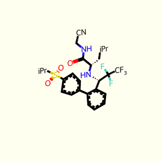 CC(C)C[C@H](N[C@@H](c1ccccc1-c1ccc(S(=O)(=O)C(C)C)cc1)C(F)(F)C(F)(F)F)C(=O)NCC#N